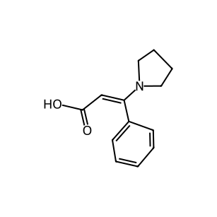 O=C(O)/C=C(\c1ccccc1)N1CCCC1